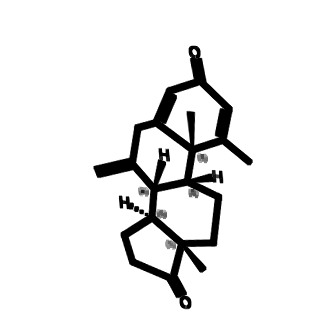 C=C1CC2=CC(=O)C=C(C)[C@]2(C)[C@@H]2CC[C@]3(C)C(=O)CC[C@H]3[C@H]12